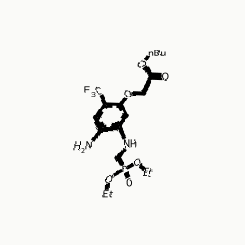 CCCCOC(=O)COc1cc(NCP(=O)(OCC)OCC)c(N)cc1C(F)(F)F